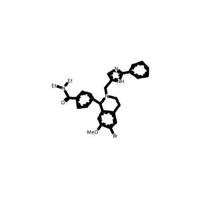 CCN(CC)C(=O)c1ccc(C2c3cc(OC)c(Br)cc3CCN2Cc2cnc(-c3ccccc3)[nH]2)cc1